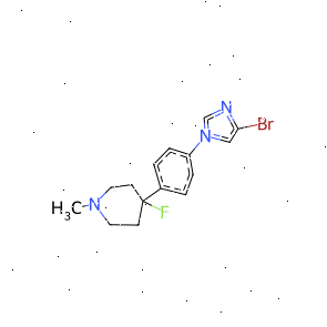 CN1CCC(F)(c2ccc(-n3cnc(Br)c3)cc2)CC1